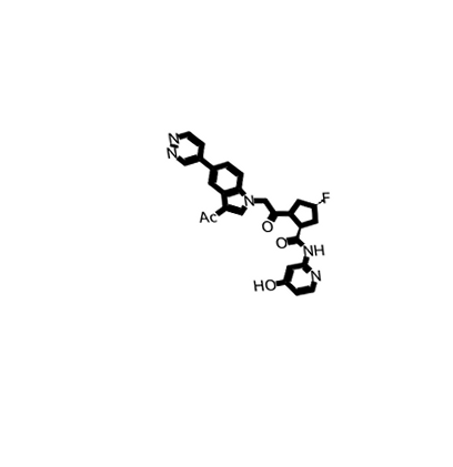 CC(=O)c1cn(CC(=O)C2C[C@H](F)C[C@H]2C(=O)Nc2cc(O)ccn2)c2ccc(-c3ccnnc3)cc12